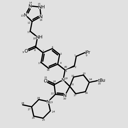 CC(C)CC[C@H](c1ccc(C(=O)NCc2nn[nH]n2)cc1)N1C(=O)C(N2CCCC(C)C2)=NC12CCC(C(C)(C)C)CC2